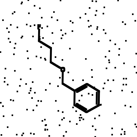 FCCCOCc1ccccc1